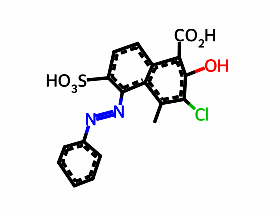 Cc1c(Cl)c(O)c(C(=O)O)c2ccc(S(=O)(=O)O)c(N=Nc3ccccc3)c12